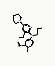 CCCN(C1=CC(NC)N(C)C=C1)c1ncc(N2CCCCC2)cc1CC